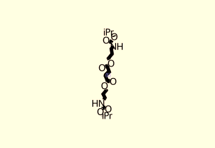 CC(C)OC(=O)NCCCOC(=O)/C=C/C(=O)OCCCNC(=O)OC(C)C